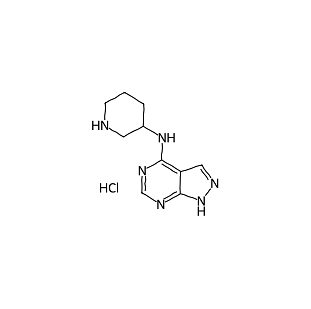 Cl.c1nc(NC2CCCNC2)c2cn[nH]c2n1